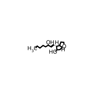 CCCCC[C@H](O)/C=C/[C@@H]1[C@H]2CCO[C@H]2C[C@H]1O